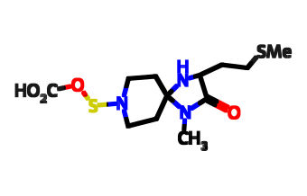 CSCCC1NC2(CCN(SOC(=O)O)CC2)N(C)C1=O